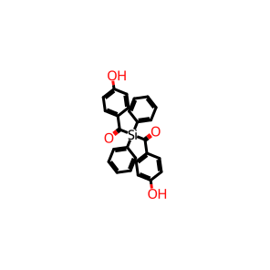 O=C(c1ccc(O)cc1)[Si](C(=O)c1ccc(O)cc1)(c1ccccc1)c1ccccc1